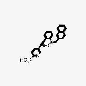 O=CN(Cc1ccc2ccccc2c1)c1ccccc1C#Cc1ccc(C(=O)O)nc1